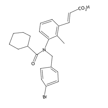 Cc1c(C=CC(=O)O)cccc1N(Cc1ccc(Br)cc1)C(=O)C1CCCCC1